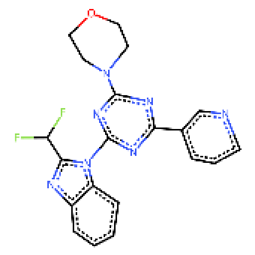 FC(F)c1nc2ccccc2n1-c1nc(-c2cccnc2)nc(N2CCOCC2)n1